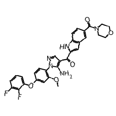 COc1cc(Oc2cccc(F)c2F)ccc1-n1ncc(C(=O)c2cc3cc(C(=O)N4CCOCC4)ccc3[nH]2)c1N